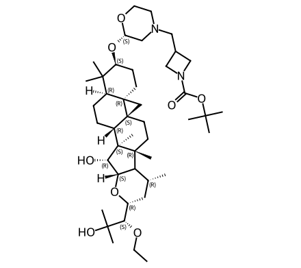 CCO[C@@H]([C@H]1C[C@@H](C)C2[C@H](O1)[C@H](O)[C@@]1(C)[C@@H]3CC[C@H]4C(C)(C)[C@@H](O[C@H]5CN(CC6CN(C(=O)OC(C)(C)C)C6)CCO5)CC[C@@]45C[C@@]35CC[C@]21C)C(C)(C)O